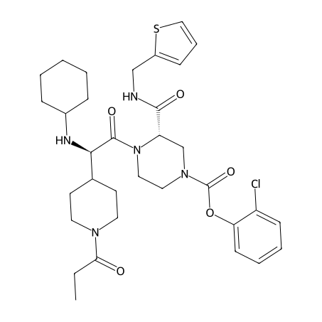 CCC(=O)N1CCC([C@@H](NC2CCCCC2)C(=O)N2CCN(C(=O)Oc3ccccc3Cl)C[C@H]2C(=O)NCc2cccs2)CC1